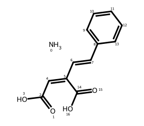 N.O=C(O)C=C(C=Cc1ccccc1)C(=O)O